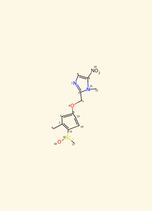 Cc1cc(OCc2ncc([N+](=O)[O-])n2C)ccc1[S+](C)[O-]